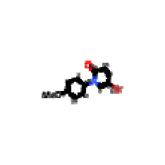 COc1ccc(-n2cc(Br)ccc2=O)cc1